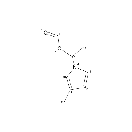 Cc1ccn(C(C)OC=O)c1